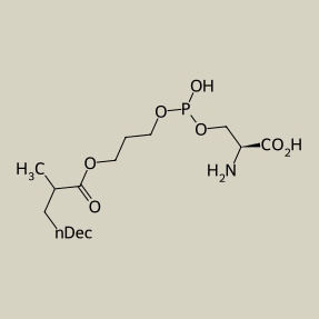 CCCCCCCCCCCC(C)C(=O)OCCCOP(O)OC[C@H](N)C(=O)O